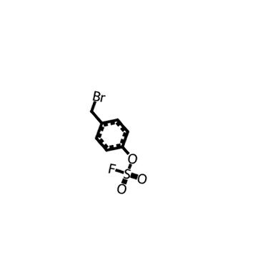 O=S(=O)(F)Oc1ccc(CBr)cc1